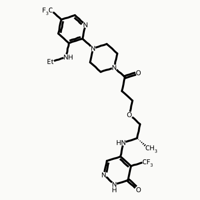 CCNc1cc(C(F)(F)F)cnc1N1CCN(C(=O)CCOC[C@H](C)Nc2cn[nH]c(=O)c2C(F)(F)F)CC1